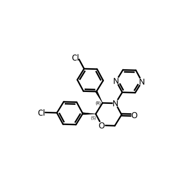 O=C1CO[C@@H](c2ccc(Cl)cc2)[C@@H](c2ccc(Cl)cc2)N1c1cnccn1